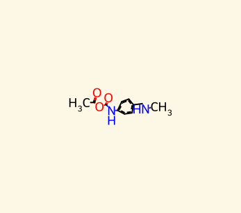 CNCc1ccc(NC(=O)OC(C)=O)cc1